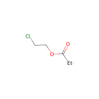 C[CH]C(=O)OCCCl